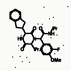 COc1ccc(C(C(=O)NC(C)C)N2C(=O)C(C3Cc4ccccc4C3)NC(=O)C2C(C)C)cc1F